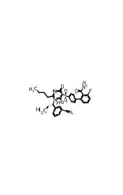 CCCCc1nc(=O)c(S(=O)(=O)c2ccc(-c3cccc(F)c3C(N)=O)cc2)c(O)n1[C@@H](CC)c1cccc(C#N)c1